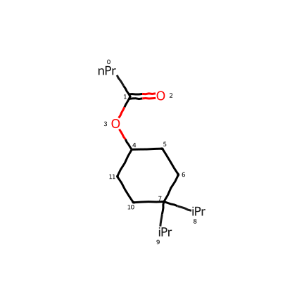 CCCC(=O)OC1CCC(C(C)C)(C(C)C)CC1